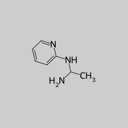 CC(N)Nc1ccccn1